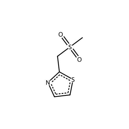 CS(=O)(=O)Cc1nccs1